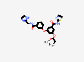 CCC(OC)Oc1cc(Oc2cccc(C(=O)NCc3ncc[nH]3)c2)cc(C(=O)Nc2nccs2)c1